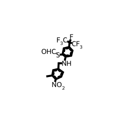 Cc1cc(CNc2ccc(C(F)(C(F)(F)F)C(F)(F)F)cc2SC=O)ccc1[N+](=O)[O-]